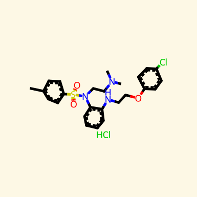 Cc1ccc(S(=O)(=O)N(CCN(C)C)c2ccccc2NCCOc2ccc(Cl)cc2)cc1.Cl